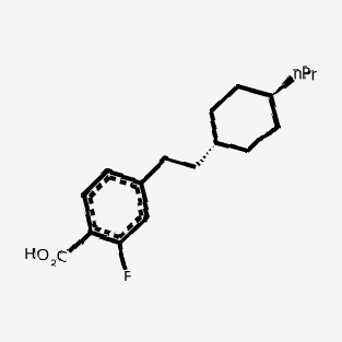 CCC[C@H]1CC[C@H](CCc2ccc(C(=O)O)c(F)c2)CC1